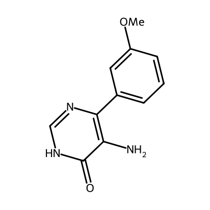 COc1cccc(-c2nc[nH]c(=O)c2N)c1